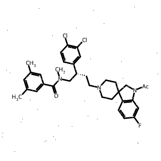 CC(=O)N1CC2(CCN(CC[C@H](CN(C)C(=O)c3cc(C)cc(C)c3)c3ccc(Cl)c(Cl)c3)CC2)c2ccc(F)cc21